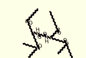 CCCCCCCCCCCN(C)C(=O)CCCCCN(CCCCCCCC(=O)N(C)C(CCCCCCCC)CCCCCCCC)CCNC(=O)CCC(=O)NCCN(CCCCCCCC(=O)N(C)C(CCCCCCCC)CCCCCCCC)CCCCCC(=O)N(C)CCCCCCCCCCC